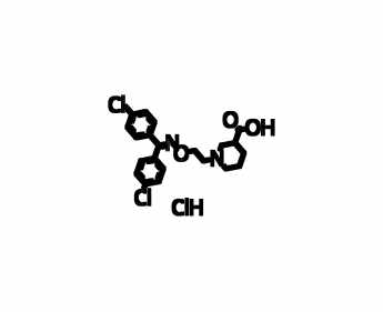 Cl.O=C(O)C1CCCN(CCON=C(c2ccc(Cl)cc2)c2ccc(Cl)cc2)C1